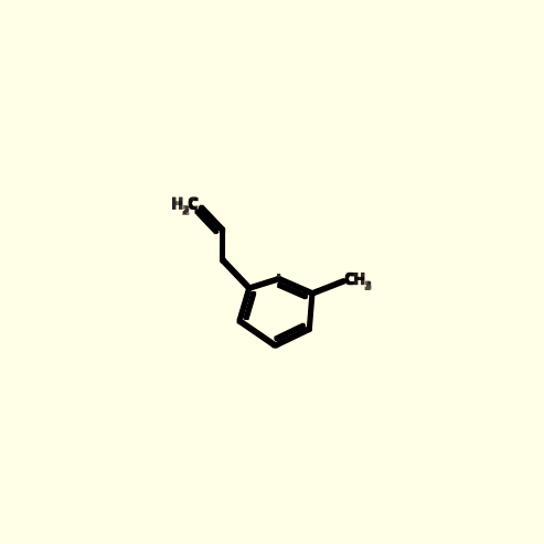 C=CCc1[c]c(C)ccc1